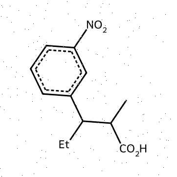 CCC(c1cccc([N+](=O)[O-])c1)C(C)C(=O)O